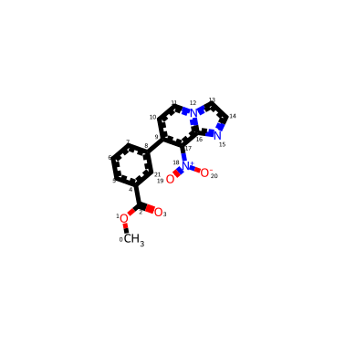 COC(=O)c1cccc(-c2ccn3ccnc3c2[N+](=O)[O-])c1